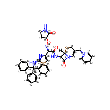 O=C(N[C@@H]1C(=O)N2C=C(C[n+]3ccccc3)CS[C@@H]12)/C(=N\OC1CCNC1=O)c1csc(NC(c2ccccc2)(c2ccccc2)c2ccccc2)n1